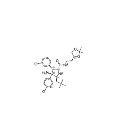 CC(C)(C)C[C@@H]1N[C@@H](C(=O)NCC[C@H]2COC(C)(C)O2)[C@H](c2cccc(Cl)c2)[C@@]1(N)c1ccc(Cl)nc1